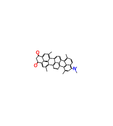 Cc1ccc2c(N(C)C)cc(C)c3c4ccc5c6c(C)cc7c8c(cc(C)c(c9ccc(c1c23)c4c95)c86)C(=O)CC7=O